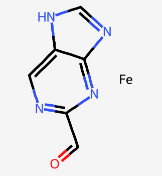 O=Cc1ncc2[nH]cnc2n1.[Fe]